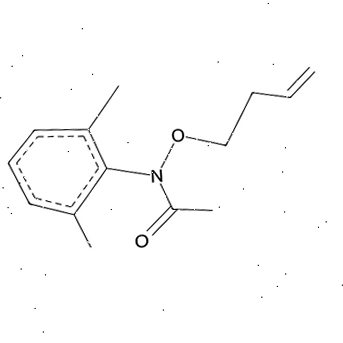 C=CCCON(C(C)=O)c1c(C)cccc1C